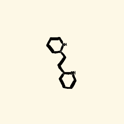 C1=CNB(/C=C/B2C=CC=CN2)C=C1